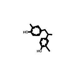 Cc1cc(CC(C)c2ccc(O)c(C)c2)ccc1O